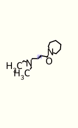 CCN(CC)C/C=C/C(=O)N1CCCCCC1